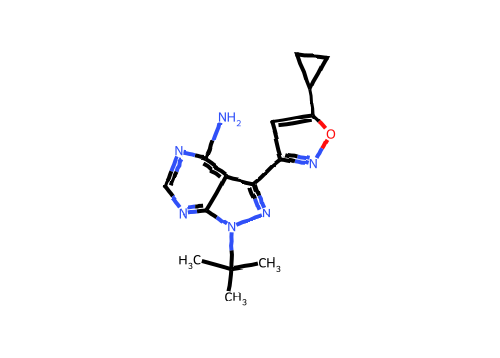 CC(C)(C)n1nc(-c2cc(C3CC3)on2)c2c(N)ncnc21